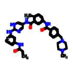 C=CC(=O)Nc1cccc(NC2N=CC(NC(=O)c3cc(NC(=O)c4ccc(CN5CCN(C)CC5)cc4)ccc3C)=CN2)c1